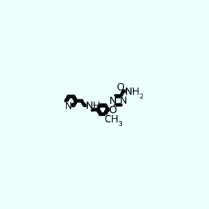 Cc1cc(CNCCc2cccnc2)ccc1Oc1cnc(C(N)=O)cn1